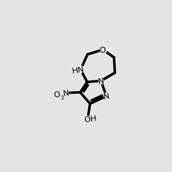 O=[N+]([O-])c1c(O)nn2c1NCOCC2